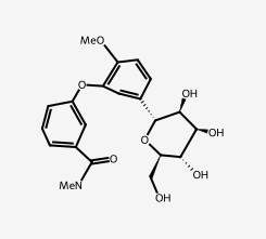 CNC(=O)c1cccc(Oc2cc([C@H]3O[C@H](CO)[C@@H](O)[C@H](O)[C@@H]3O)ccc2OC)c1